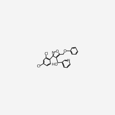 OC(c1cccnc1)c1c(-c2ccc(Cl)cc2Cl)noc1COc1ccccc1